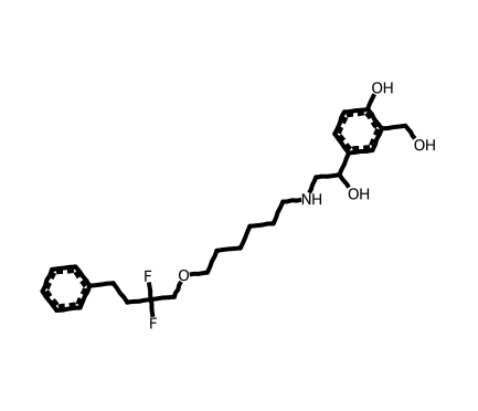 OCc1cc(C(O)CNCCCCCCOCC(F)(F)CCc2ccccc2)ccc1O